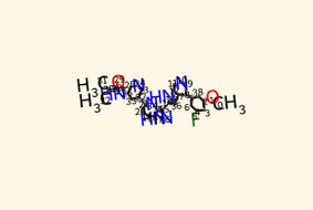 COc1cc(F)cc(-c2cncc3[nH]c(-c4n[nH]c5ccc(-c6cncc(NC(=O)C(C)C)c6)nc45)cc23)c1